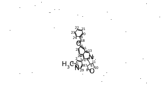 Cc1cc(-c2c(C3CCOCC3)ncc3cc(OCc4ccccc4)ccc23)ccn1